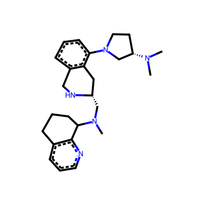 CN(C[C@H]1Cc2c(cccc2N2CC[C@H](N(C)C)C2)CN1)C1CCCc2cccnc21